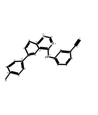 C#Cc1cccc(Nc2ncnc3ccc(-c4ccc(C)cc4)cc23)c1